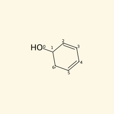 OC1[C]=CC=C[CH]1